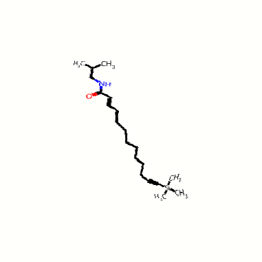 CC(C)CNC(=O)/C=C/C=C/CCCCCCC#C[Si](C)(C)C